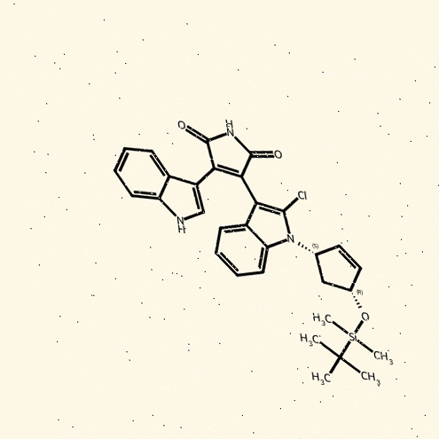 CC(C)(C)[Si](C)(C)O[C@H]1C=C[C@@H](n2c(Cl)c(C3=C(c4c[nH]c5ccccc45)C(=O)NC3=O)c3ccccc32)C1